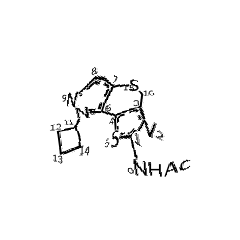 CC(=O)Nc1nc2c(s1)-c1c(cnn1C1CCC1)SC2